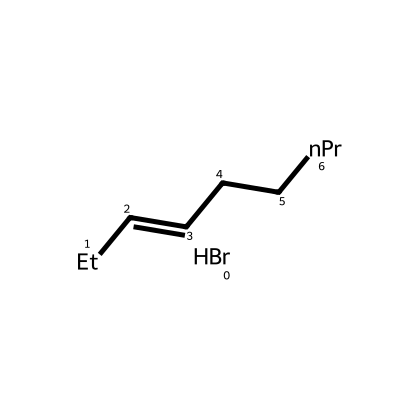 Br.CCC=CCCCCC